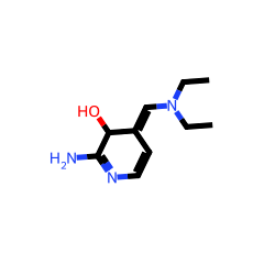 CCN(C=C1C=CN=C(N)C1O)CC